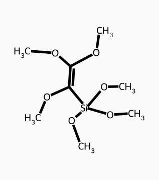 COC(OC)=C(OC)[Si](OC)(OC)OC